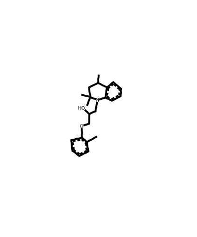 Cc1ccccc1OCC(O)CN1c2ccccc2C(C)CC1(C)C